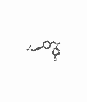 CN(C)CC#CC1CCC(CN(C)c2ncc(Cl)cn2)CC1